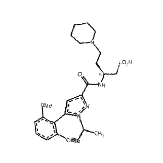 COc1cccc(OC)c1-c1cc(C(=O)N[C@@H](CCN2CCCCC2)CC(=O)O)nn1C(C)C(C)C